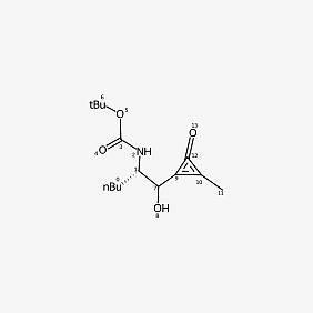 CCCC[C@H](NC(=O)OC(C)(C)C)C(O)c1c(C)c1=O